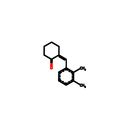 Cc1cccc(/C=C2/CCCCC2=O)c1C